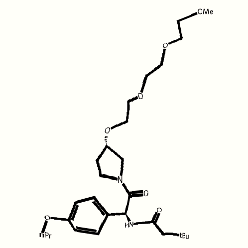 CCCOc1ccc([C@H](NC(=O)CC(C)(C)C)C(=O)N2CC[C@H](OCCOCCOCCOC)C2)cc1